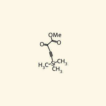 COC(=O)C(=O)C#C[Si](C)(C)C